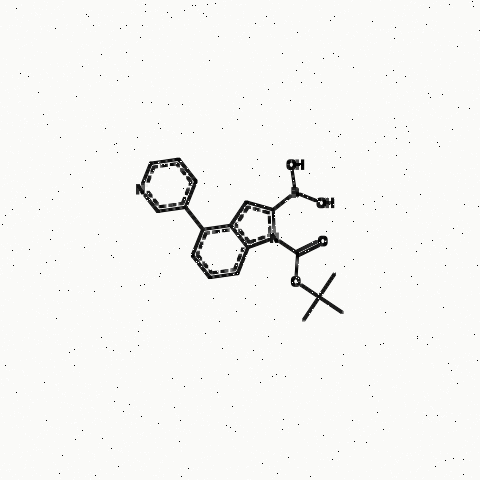 CC(C)(C)OC(=O)n1c(B(O)O)cc2c(-c3cccnc3)cccc21